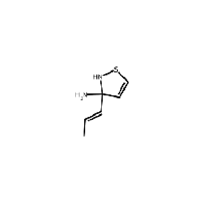 C/C=C/C1(N)C=CSN1